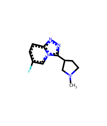 CN1CCC(c2nnc3ccc(F)cn23)C1